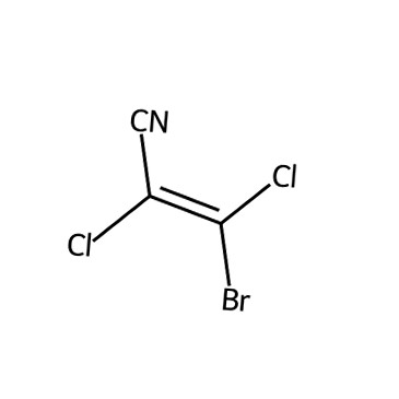 N#C/C(Cl)=C(\Cl)Br